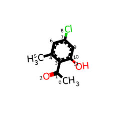 CC(=O)c1c(C)cc(Cl)cc1O